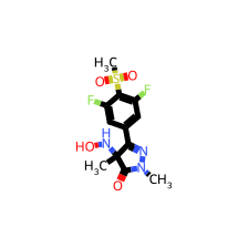 CN1N=C(c2cc(F)c(S(C)(=O)=O)c(F)c2)C(C)(NO)C1=O